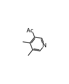 CC(=O)c1cncc(C)c1C